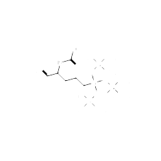 C=CC(CCC[Si](O[Si](C)(C)C)(O[Si](C)(C)C)O[Si](C)(C)C)NC(=O)O